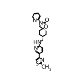 Cc1nc(-c2ccc(NC[C@H]3CC[C@]4(CC3)CN(c3ccccn3)C(=O)O4)nc2)cs1